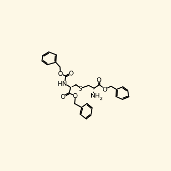 N[C@H](CSC[C@H](NC(=O)OCc1ccccc1)C(=O)OCc1ccccc1)C(=O)OCc1ccccc1